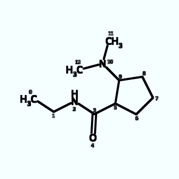 CCNC(=O)C1CCCC1N(C)C